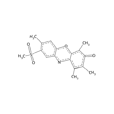 Cc1cc2oc3c(C)c(=O)c(C)c(C)c-3nc2cc1S(C)(=O)=O